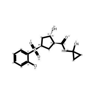 N#CC1(NC(=O)[C@H]2C[C@@H](S(=O)(=O)c3ccccc3Cl)C[C@@H]2O)CC1